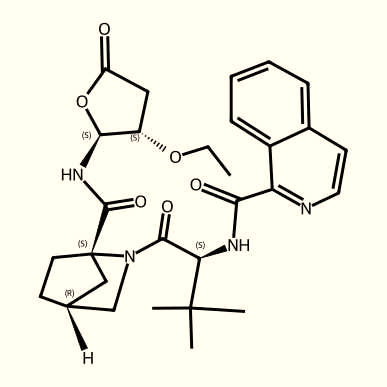 CCO[C@H]1CC(=O)O[C@@H]1NC(=O)[C@@]12CC[C@@H](CN1C(=O)[C@@H](NC(=O)c1nccc3ccccc13)C(C)(C)C)C2